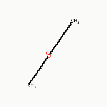 CCCCCCCCCCCCCCCCCCCCCCCCCCCCC(=O)OCCCCCCCCCCCCCCCCCCCCCCCC